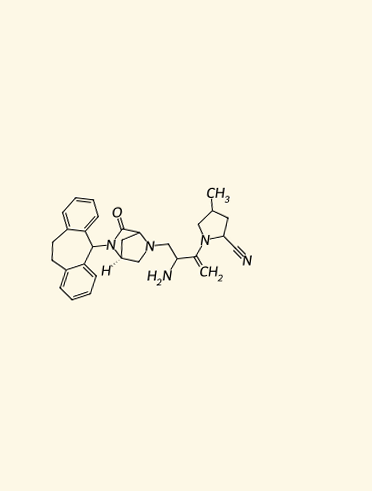 C=C(C(N)CN1C[C@@H]2CC1C(=O)N2C1c2ccccc2CCc2ccccc21)N1CC(C)CC1C#N